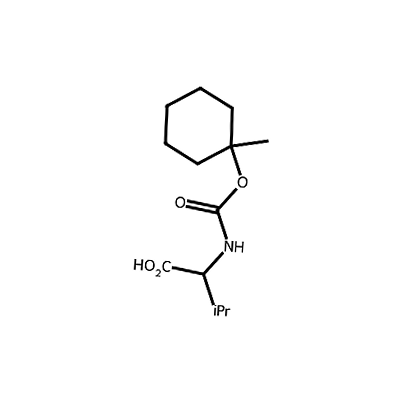 CC(C)C(NC(=O)OC1(C)CCCCC1)C(=O)O